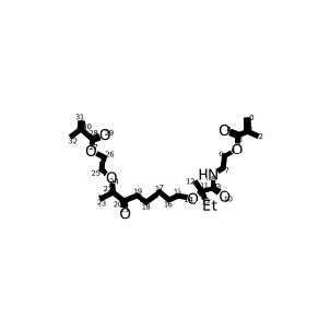 C=C(C)C(=O)OCCNC(=O)C(C)(CC)OCCCCCC(=O)C(C)OCCOC(=O)C(=C)C